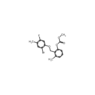 COC(=O)Oc1cccc(C)c1COc1cc(F)c(C)cc1Br